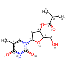 Cc1cn(C2CC(OC(=O)C(C)C)C(CO)O2)c(=O)[nH]c1=O